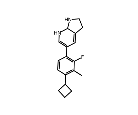 Cc1c(C2CCC2)ccc(C2=CNC3NCCC3=C2)c1F